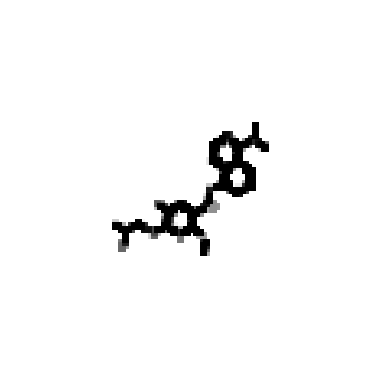 COc1nc(OCC(F)F)c(F)cc1NSc1cccc2c(N(C)C)nccc12